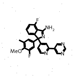 COc1c(C)cc(C2(c3ccnc(-c4cncnc4)c3)N=C(N)c3c(F)cccc32)cc1F